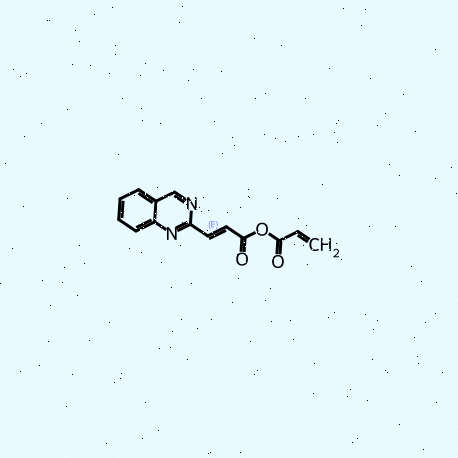 C=CC(=O)OC(=O)/C=C/c1ncc2ccccc2n1